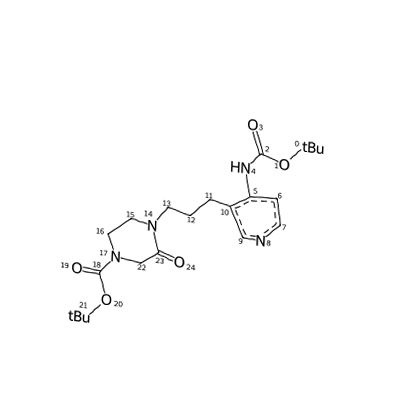 CC(C)(C)OC(=O)Nc1ccncc1CCCN1CCN(C(=O)OC(C)(C)C)CC1=O